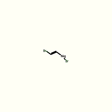 BrC=[CH][Mg][Br]